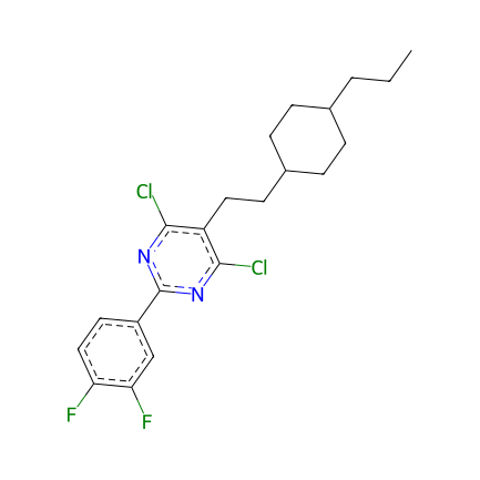 CCCC1CCC(CCc2c(Cl)nc(-c3ccc(F)c(F)c3)nc2Cl)CC1